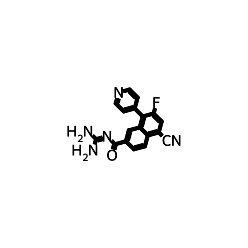 N#Cc1cc(F)c(-c2ccncc2)c2cc(C(=O)N=C(N)N)ccc12